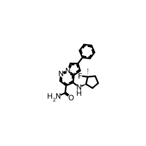 C[C@]1(F)CCC[C@H]1Nc1c(C(N)=O)cnn2cc(-c3ccccc3)cc12